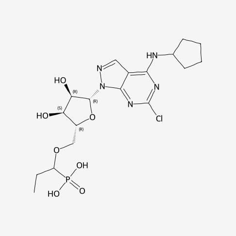 CCC(OC[C@H]1O[C@@H](n2ncc3c(NC4CCCC4)nc(Cl)nc32)[C@H](O)[C@@H]1O)P(=O)(O)O